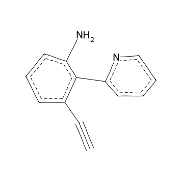 C#Cc1cccc(N)c1-c1ccccn1